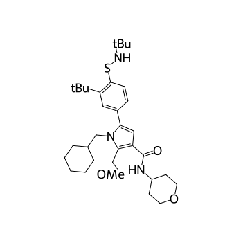 COCc1c(C(=O)NC2CCOCC2)cc(-c2ccc(SNC(C)(C)C)c(C(C)(C)C)c2)n1CC1CCCCC1